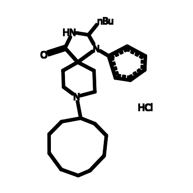 CCCCC1NC(=O)C2(CCN(C3CCCCCCCCC3)CC2)N1c1ccccc1.Cl